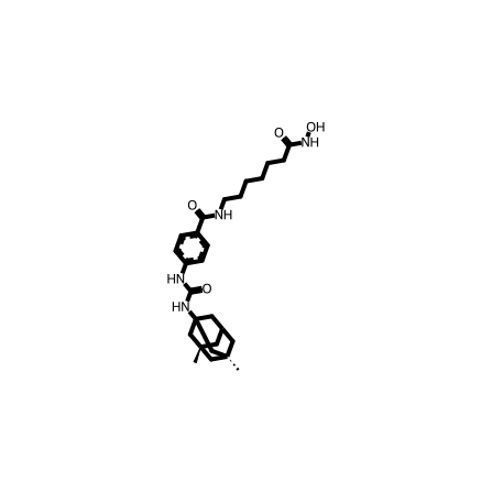 C[C@]12CC3CC(NC(=O)Nc4ccc(C(=O)NCCCCCCC(=O)NO)cc4)(C1)C[C@@](C)(C3)C2